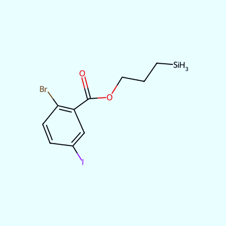 O=C(OCCC[SiH3])c1cc(I)ccc1Br